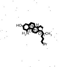 CC(C)CCC[C@@H](C)[C@H]1CC[C@H]2[C@@H]3CC=C4C[C@H](O)CC(N)[C@]4(C)[C@H]3CC[C@]12C